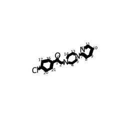 O=C(CN1CCN(c2ccccn2)CC1)c1ccc(Cl)cc1